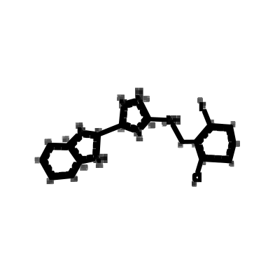 Fc1cccc(Cl)c1CNc1nc(-c2nc3ccccc3[nH]2)n[nH]1